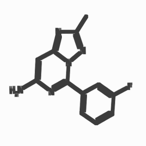 Cc1nc2cc(N)nc(-c3cccc(F)c3)n2n1